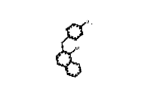 Cc1ccc(Cc2ccc3ccccc3c2O)cc1